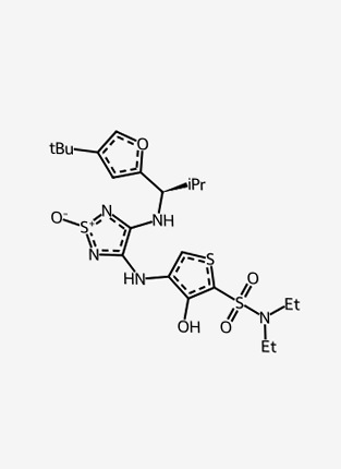 CCN(CC)S(=O)(=O)c1scc(Nc2n[s+]([O-])nc2N[C@@H](c2cc(C(C)(C)C)co2)C(C)C)c1O